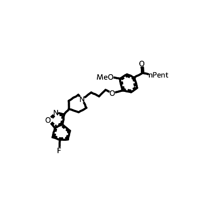 CCCCCC(=O)c1ccc(OCCCN2CCC(c3noc4cc(F)ccc34)CC2)c(OC)c1